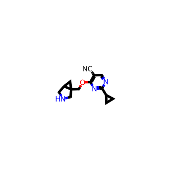 N#Cc1cnc(C2CC2)nc1OCC12CNCC1C2